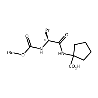 CC(C)[C@H](NC(=O)OC(C)(C)C)C(=O)NC1(C(=O)O)CCCC1